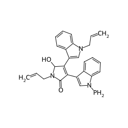 C=CCN1C(=O)C(c2cn(P)c3ccccc23)=C(c2cn(CC=C)c3ccccc23)C1O